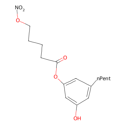 CCCCCc1cc(O)cc(OC(=O)CCCCO[N+](=O)[O-])c1